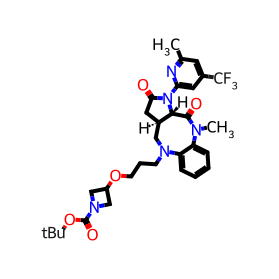 Cc1cc(C(F)(F)F)cc(N2C(=O)C[C@@H]3CN(CCCOC4CN(C(=O)OC(C)(C)C)C4)c4ccccc4N(C)C(=O)[C@H]32)n1